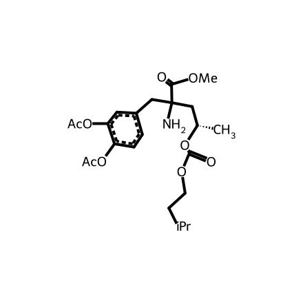 COC(=O)C(N)(Cc1ccc(OC(C)=O)c(OC(C)=O)c1)C[C@H](C)OC(=O)OCCC(C)C